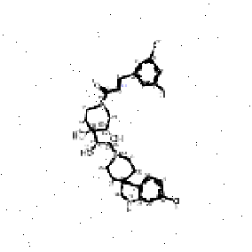 O=C(/C=C/c1cc(F)cc(F)c1)N1CC[C@@](O)([C@H](O)CN2CCC3(CC2)CNc2cc(Cl)ccc23)[C@@H](O)C1